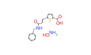 NO.O=C(C=Cc1ccc(C(=O)O)s1)NCc1ccccc1